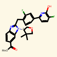 COC(=O)c1ccc2nc(Cc3ccc(-c4ccc(F)c(O)n4)cc3F)n([C@@H]3COCC3(C)C)c2c1